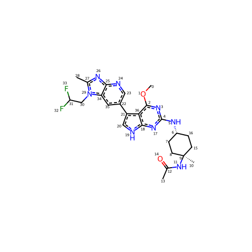 COc1nc(N[C@H]2CC[C@](C)(NC(C)=O)CC2)nc2[nH]cc(-c3cnc4nc(C)n(CC(F)F)c4c3)c12